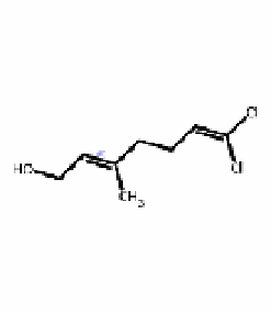 C/C(=C\CO)CCC=C(Cl)Cl